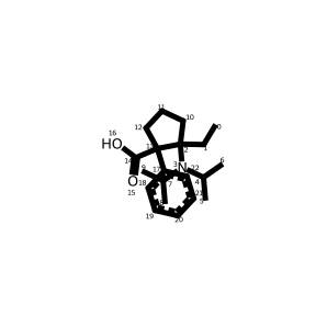 CCC1(N(C(C)C)C(C)C)CCCC1(C(=O)O)c1ccccc1